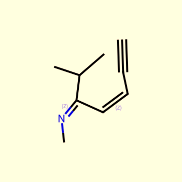 C#C/C=C\C(=N/C)C(C)C